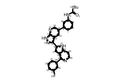 CC(C)(C)C(=O)Nc1cccc(-c2cnc3[nH]nc(-c4cc5c(-c6cccc(F)c6)nccc5[nH]4)c3c2)c1